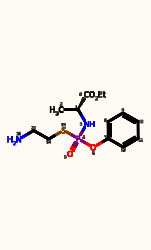 CCOC(=O)[C@H](C)NP(=O)(Oc1ccccc1)SCCN